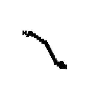 CCCCCCCCCCCCC#CC#CC#CC#CC#CC#CCCCC(=O)O